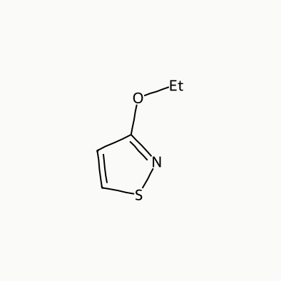 [CH2]COc1ccsn1